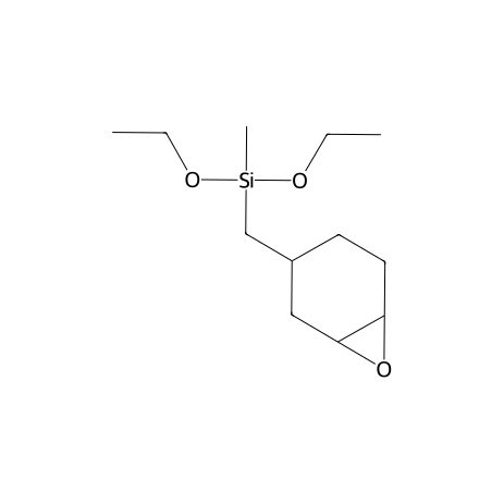 CCO[Si](C)(CC1CCC2OC2C1)OCC